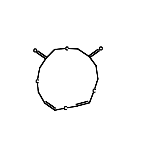 O=C1CCC/C=C\C/C=C\CCCC(=O)CCC1